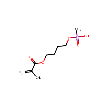 C=C(C)C(=O)OCCCCOP(C)(=O)O